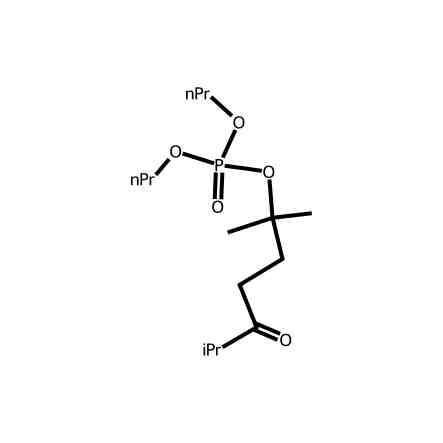 CCCOP(=O)(OCCC)OC(C)(C)CCC(=O)C(C)C